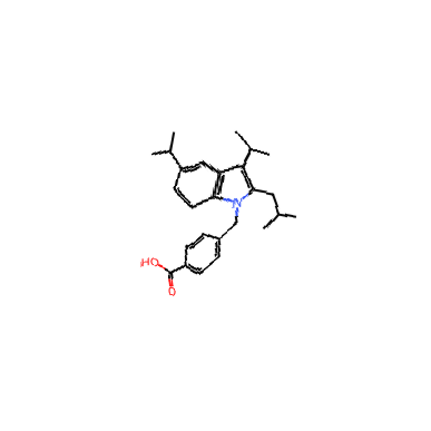 CC(C)Cc1c(C(C)C)c2cc(C(C)C)ccc2n1Cc1ccc(C(=O)O)cc1